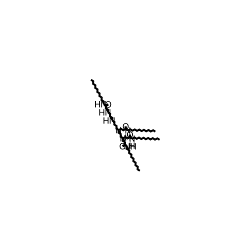 CCCCCCCCCCCCNC(=O)CCNCCCNCCCCN(CCCN(CCC(=O)NCCCCCCCCCCCC)CCC(=O)NCCCCCCCCCCCC)CCC(=O)NCCCCCCCCCCCC